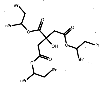 CCCC(CC(C)C)OC(=O)CC(O)(CC(=O)OC(CCC)CC(C)C)C(=O)OC(CCC)CC(C)C